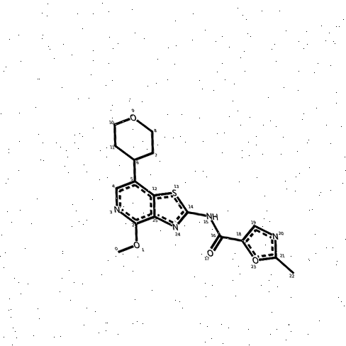 COc1ncc(C2CCOCC2)c2sc(NC(=O)c3cnc(C)o3)nc12